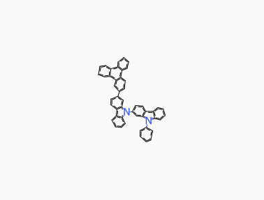 c1ccc(-n2c3ccccc3c3ccc(-n4c5ccccc5c5ccc(-c6ccc7c8ccccc8c8ccccc8c7c6)cc54)cc32)cc1